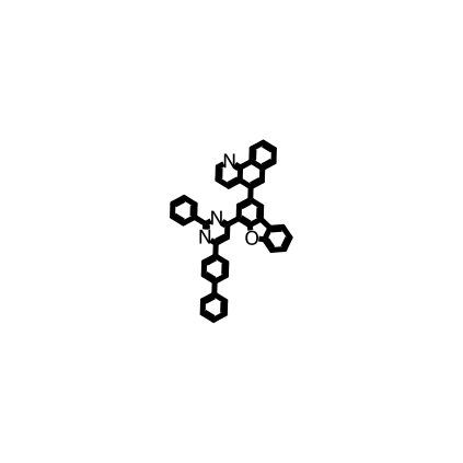 c1ccc(-c2ccc(-c3cc(-c4cc(-c5cc6ccccc6c6ncccc56)cc5c4oc4ccccc45)nc(-c4ccccc4)n3)cc2)cc1